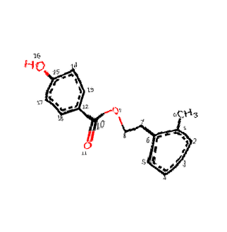 Cc1ccccc1CCOC(=O)c1ccc(O)cc1